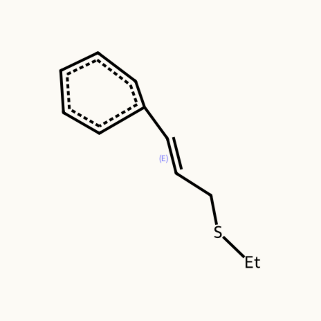 CCSC/C=C/c1ccccc1